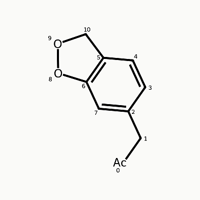 CC(=O)Cc1ccc2c(c1)OOC2